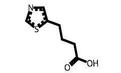 O=C(O)CCCc1cncs1